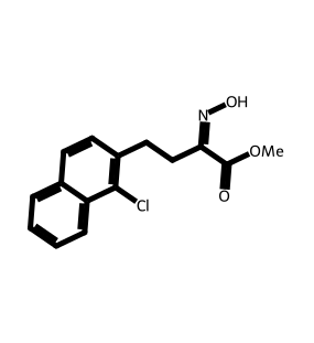 COC(=O)C(CCc1ccc2ccccc2c1Cl)=NO